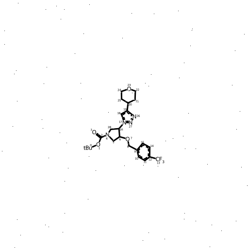 CC(C)(C)OC(=O)N1CC(OCc2ccc(C(F)(F)F)cc2)C(n2cc(C3CCOCC3)nn2)C1